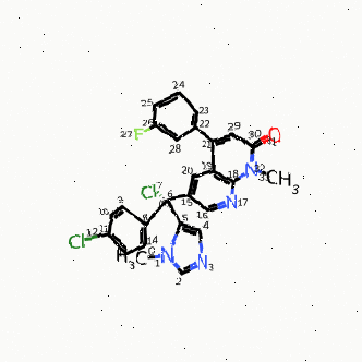 Cn1cncc1[C@@](Cl)(c1ccc(Cl)cc1)c1cnc2c(c1)c(-c1cccc(F)c1)cc(=O)n2C